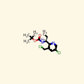 CC[C@H](NC(=O)OC(C)(C)C)c1ncc(Cl)cc1CCl